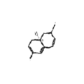 IC1=CC[C@H]2CC(I)C=CC2=C1